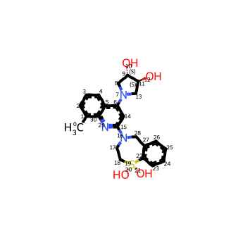 Cc1cccc2c(N3C[C@H](O)[C@@H](O)C3)cc(N3CCS(O)(O)c4ccccc4C3)nc12